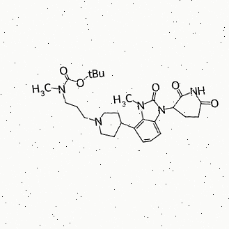 CN(CCCN1CCC(c2cccc3c2n(C)c(=O)n3C2CCC(=O)NC2=O)CC1)C(=O)OC(C)(C)C